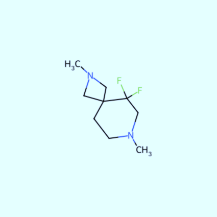 CN1CCC2(CN(C)C2)C(F)(F)C1